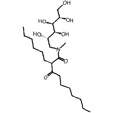 CCCCCCCC(=O)C(CCCCCC)C(=O)N(C)C[C@H](O)[C@H](O)[C@@H](O)[C@H](O)CO